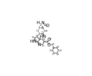 NC(=O)[C@H]1CCC[C@H](Nc2c(C(=O)OCc3ccccc3)cnc3[nH]ccc23)C1